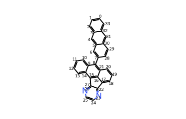 c1ccc2cc3cc(-c4c5ccccc5c5c6c(cccc46)-c4nccnc4-5)ccc3cc2c1